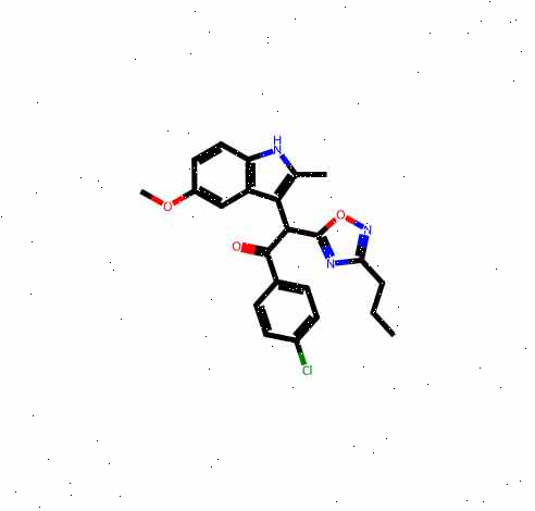 CCCc1noc(C(C(=O)c2ccc(Cl)cc2)c2c(C)[nH]c3ccc(OC)cc23)n1